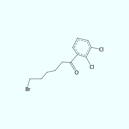 O=C(CCCCCBr)c1cccc(Cl)c1Cl